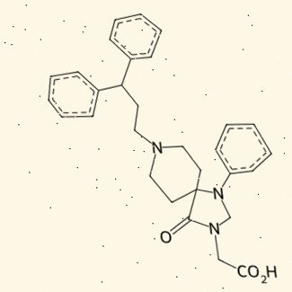 O=C(O)CN1CN(c2ccccc2)C2(CCN(CCC(c3ccccc3)c3ccccc3)CC2)C1=O